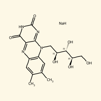 Cc1cc2nc3c(=O)[nH]c(=O)nc-3n(C[C@H](O)[C@H](O)[C@H](O)CO)c2cc1C.[NaH]